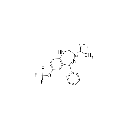 CC(C)[C@H]1CNc2ccc(OC(F)(F)F)cc2C(c2ccccc2)=N1